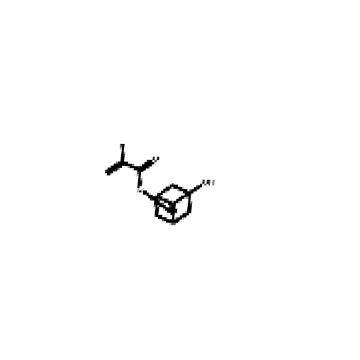 C=C(C)C(=O)OC1=C2C3CC(C1)CC2(O)C3